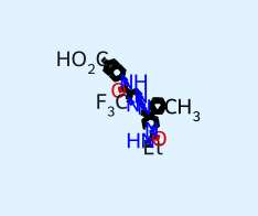 CCNC(=O)N1CCC2(CC1)CN(c1ncc(C(=O)NC3CC4CC(C3)CC(C(=O)O)C4)c(C(F)(F)F)n1)c1ccc(C)cc12